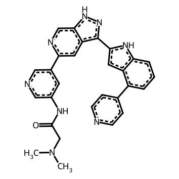 CN(C)CC(=O)Nc1cncc(-c2cc3c(-c4cc5c(-c6ccncc6)cccc5[nH]4)n[nH]c3cn2)c1